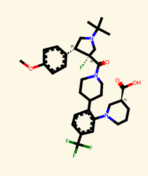 COc1ccc([C@@H]2CN(C(C)(C)C)C[C@@]2(F)C(=O)N2CCC(c3ccc(C(F)(F)F)cc3N3CCC[C@H](C(=O)O)C3)CC2)cc1